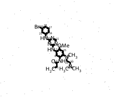 C=CC(=O)Nc1cc(Nc2ncnc(Nc3cccc(Br)c3)n2)c(OC)cc1N(C)CCN(C)C